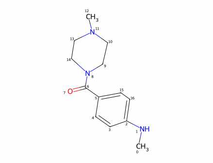 CNc1ccc(C(=O)N2CCN(C)CC2)cc1